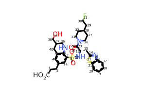 O=C(O)CCc1cc2c(c(S(=O)(=O)N[C@@H](Cc3nc4ccccc4s3)C(=O)N3CCC(CCF)CC3)c1)NCC(CO)C2